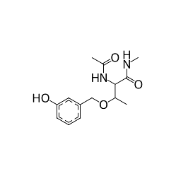 CNC(=O)C(NC(C)=O)C(C)OCc1cccc(O)c1